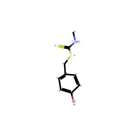 CNC(=S)SCc1ccc(Br)cc1